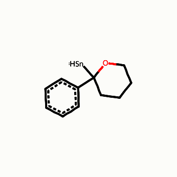 [SnH][C]1(c2ccccc2)CCCCO1